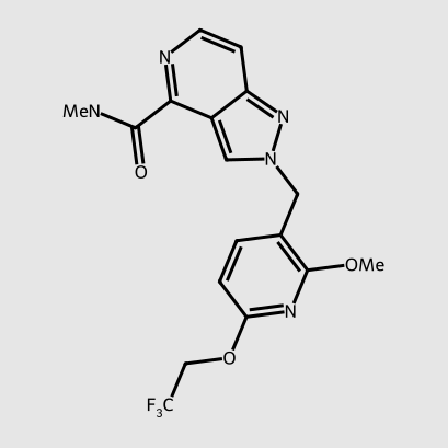 CNC(=O)c1nccc2nn(Cc3ccc(OCC(F)(F)F)nc3OC)cc12